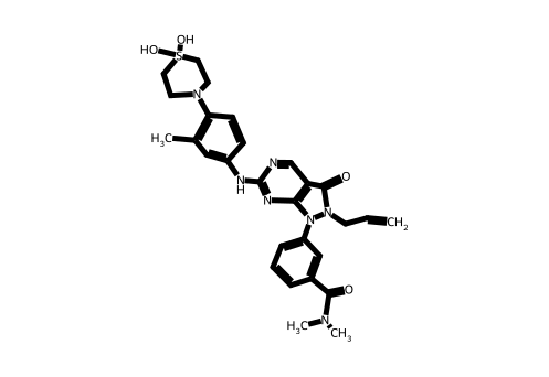 C=CCn1c(=O)c2cnc(Nc3ccc(N4CCS(O)(O)CC4)c(C)c3)nc2n1-c1cccc(C(=O)N(C)C)c1